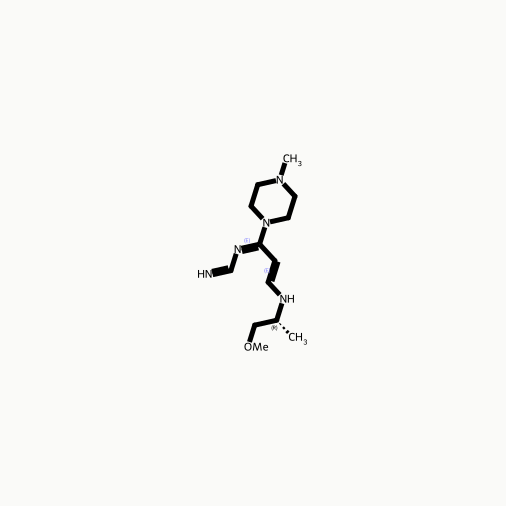 COC[C@@H](C)N/C=C/C(=N\C=N)N1CCN(C)CC1